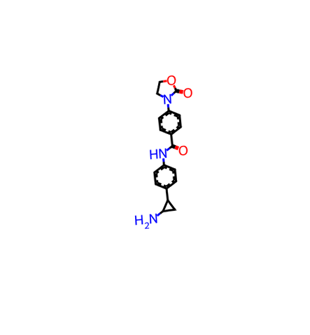 NC1CC1c1ccc(NC(=O)c2ccc(N3CCOC3=O)cc2)cc1